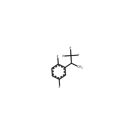 [CH2]C(c1cc(F)ccc1F)C(F)(F)F